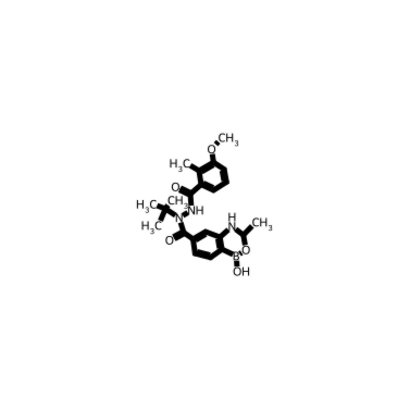 COc1cccc(C(=O)NN(C(=O)c2ccc3c(c2)NC(C)OB3O)C(C)(C)C)c1C